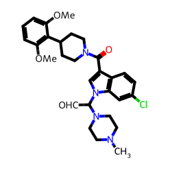 COc1cccc(OC)c1C1CCN(C(=O)c2cn(C(C=O)N3CCN(C)CC3)c3cc(Cl)ccc23)CC1